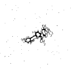 Cn1c(=O)n(CC(C)(C)C)c2ccc(C3CNCCC3(F)F)nc21